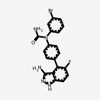 NC(=O)N(c1ccc(-c2c(F)ccc3[nH]nc(N)c23)cc1)c1cccc(Br)c1